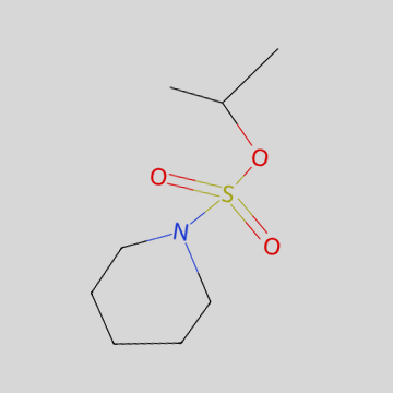 CC(C)OS(=O)(=O)N1CCCCC1